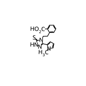 Cn1cccc1-c1n[nH]c(=S)n1CCc1ccccc1C(=O)O